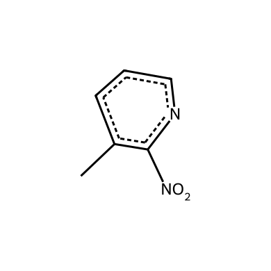 Cc1cccnc1[N+](=O)[O-]